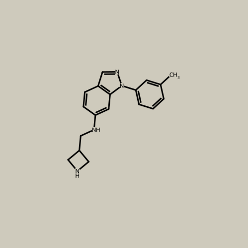 Cc1cccc(-n2ncc3ccc(NCC4CNC4)cc32)c1